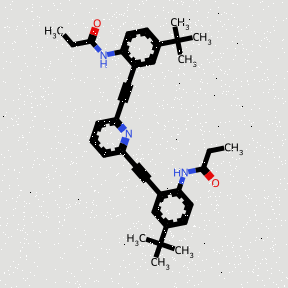 CCC(=O)Nc1ccc(C(C)(C)C)cc1C#Cc1cccc(C#Cc2cc(C(C)(C)C)ccc2NC(=O)CC)n1